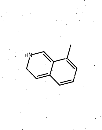 Cc1cccc2c1=CNCC=2